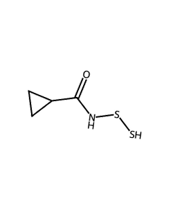 O=C(NSS)C1CC1